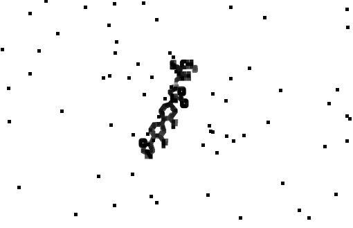 CC(=S)NC[C@H]1CN(c2ccc(-c3ccc(-c4cnco4)c(F)c3)c(F)c2)C(=O)O1